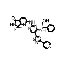 O=C1NC(F)(F)c2nc(Nc3ncc(-c4nc(-c5ccncc5)no4)c(N[C@H](CO)c4ccccc4)n3)ccc21